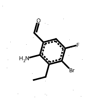 CCc1c(N)c(C=O)cc(F)c1Br